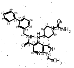 CCn1ncc2c(NC3CCN(C(N)=O)CC3)c(C(=O)NCc3cccc(-c4ccccc4)c3)cnc21